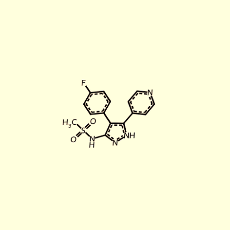 CS(=O)(=O)Nc1n[nH]c(-c2ccncc2)c1-c1ccc(F)cc1